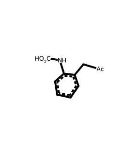 CC(=O)Cc1ccccc1NC(=O)O